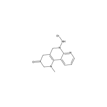 CCNN1CC2=C(c3cccnc31)N(C)CC(=O)C2